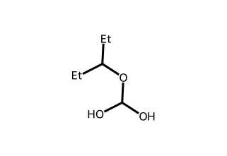 CCC(CC)OC(O)O